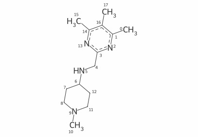 Cc1nc(CNC2CCN(C)CC2)nc(C)c1C